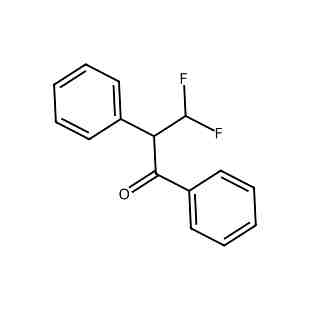 O=C(c1ccccc1)C(c1ccccc1)C(F)F